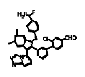 C=C/C=c1\c(=C/C(C)F)c(-c2cccc3nncn23)c(-c2cccc(-c3ccc(C=O)cc3Cl)c2)n1Sc1ccc(C(F)P)cc1